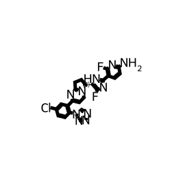 Nc1ccc(-c2nc(F)c([C@H]3CCC4=NC(c5cc(Cl)ccc5-n5cnnn5)=CCN43)[nH]2)c(F)n1